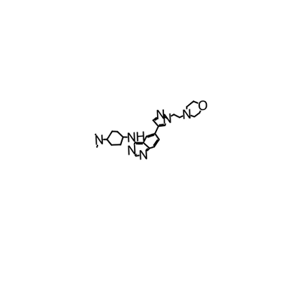 CN(C)C1CCC(Nc2ncnc3ccc(-c4cnn(CCN5CCOCC5)c4)cc23)CC1